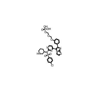 O=P(O)(O)OCOCOc1cccc(-c2nc3sccn3c2-c2ccnc(N(C3CCCNC3)S(=O)(=O)c3ccc(Cl)cc3)n2)c1